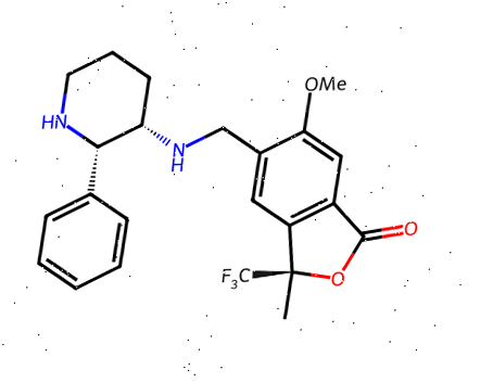 COc1cc2c(cc1CN[C@H]1CCCN[C@H]1c1ccccc1)[C@](C)(C(F)(F)F)OC2=O